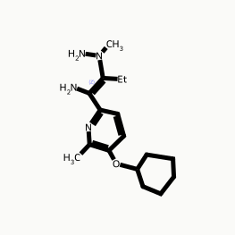 CC/C(=C(/N)c1ccc(OC2CCCCC2)c(C)n1)N(C)N